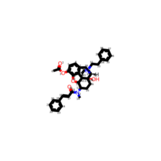 CC(=O)Oc1ccc2c3c1OC1C(N(C)C(=O)/C=C/c4ccccc4)CC[C@@]4(O)[C@@H](C2)N(CCc2ccccc2)CC[C@]314